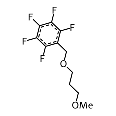 COCCCOCc1c(F)c(F)c(F)c(F)c1F